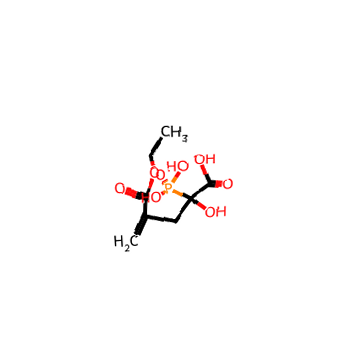 C=C(CC(O)(C(=O)O)P(=O)(O)O)C(=O)OCC